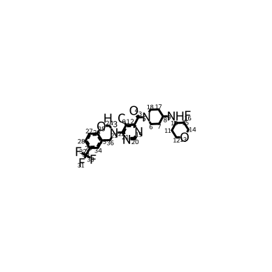 Cc1c(C(=O)N2CCC(N[C@H]3CCOC[C@H]3F)CC2)ncnc1N1COc2ccc(C(F)(F)F)cc2C1